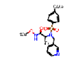 COc1ccc(S(=O)(=O)N(Cc2cccnc2)C(C(=O)NOC(C)(C)C)C(C)C)cc1